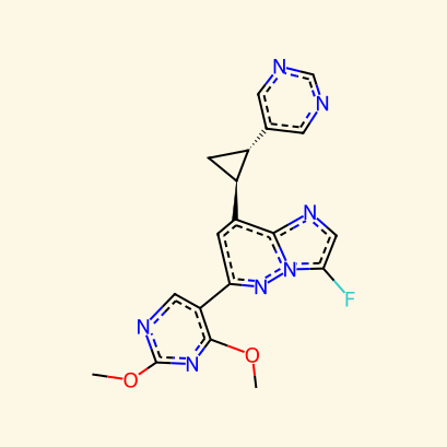 COc1ncc(-c2cc([C@H]3C[C@@H]3c3cncnc3)c3ncc(F)n3n2)c(OC)n1